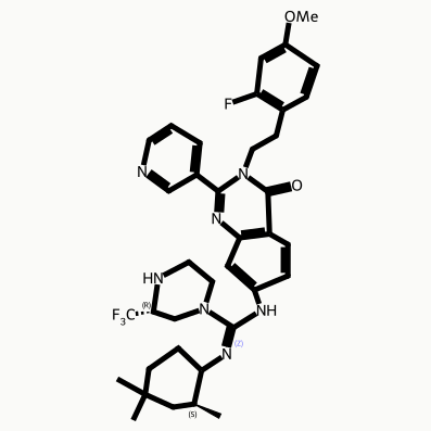 COc1ccc(CCn2c(-c3cccnc3)nc3cc(N/C(=N/C4CCC(C)(C)C[C@@H]4C)N4CCN[C@@H](C(F)(F)F)C4)ccc3c2=O)c(F)c1